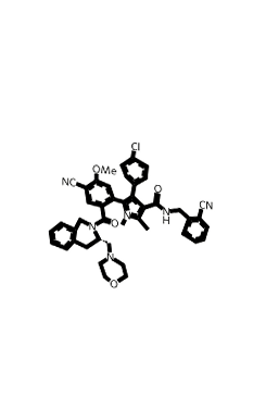 COc1cc(-c2c(-c3ccc(Cl)cc3)c(C(=O)NCc3ccccc3C#N)c(C)n2C)c(C(=O)N2Cc3ccccc3C[C@H]2CN2CCOCC2)cc1C#N